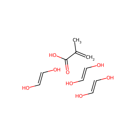 C=C(C)C(=O)O.OC=CO.OC=CO.OC=CO